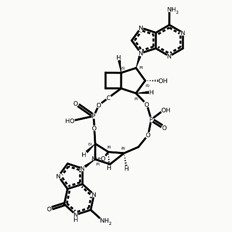 CO[C@@H]1[C@H]2COP(=O)(O)O[C@H]3[C@@H](O)[C@H](n4cnc5c(N)ncnc54)[C@H]4CCC43COP(=O)(O)O[C@H]1[C@H](n1cnc3c(=O)[nH]c(N)nc31)C2